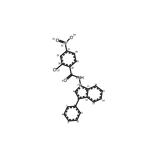 O=C(Nn1cc(-c2ccccc2)c2ccccc21)c1ccc([N+](=O)[O-])cc1Cl